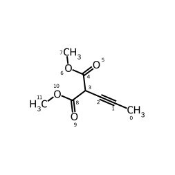 CC#CC(C(=O)OC)C(=O)OC